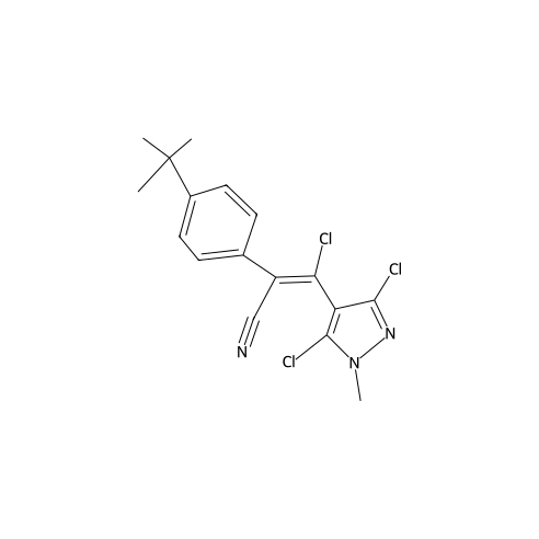 Cn1nc(Cl)c(C(Cl)=C(C#N)c2ccc(C(C)(C)C)cc2)c1Cl